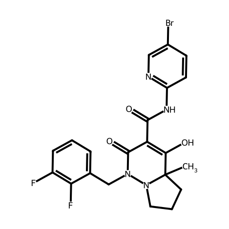 CC12CCCN1N(Cc1cccc(F)c1F)C(=O)C(C(=O)Nc1ccc(Br)cn1)=C2O